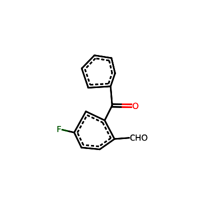 O=Cc1ccc(F)cc1C(=O)c1ccccc1